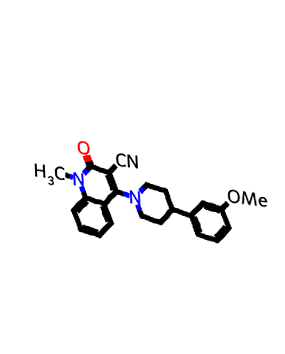 COc1cccc(C2CCN(c3c(C#N)c(=O)n(C)c4ccccc34)CC2)c1